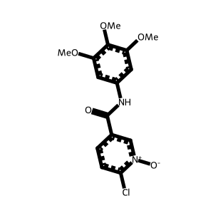 COc1cc(NC(=O)c2ccc(Cl)[n+]([O-])c2)cc(OC)c1OC